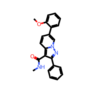 CNC(=O)c1c(-c2ccccc2)nn2cc(-c3ccccc3OC)ccc12